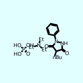 CCCCC1C(=O)NN(c2ccccc2)C1=O.CCN(CC)CC.O=P(O)(O)O